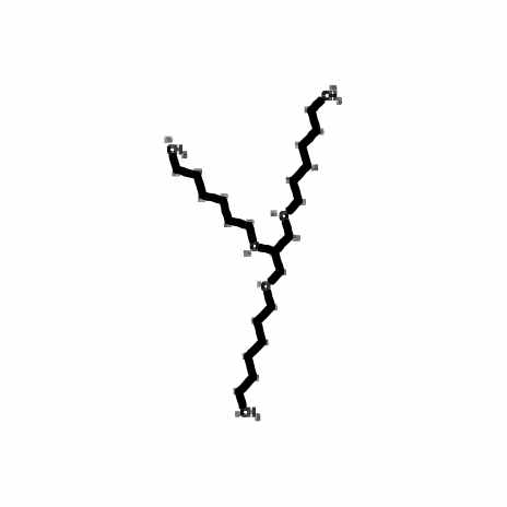 CCCCCCCOCC(COCCCCCCC)OCCCCCCC